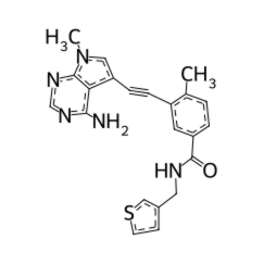 Cc1ccc(C(=O)NCc2ccsc2)cc1C#Cc1cn(C)c2ncnc(N)c12